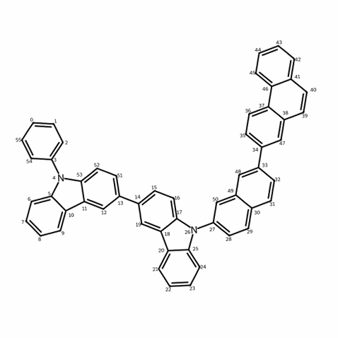 c1ccc(-n2c3ccccc3c3cc(-c4ccc5c(c4)c4ccccc4n5-c4ccc5ccc(-c6ccc7c(ccc8ccccc87)c6)cc5c4)ccc32)cc1